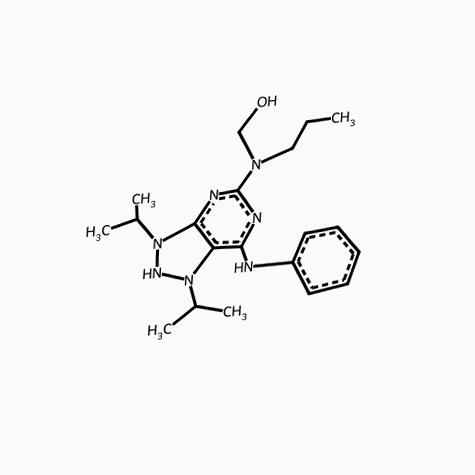 CCCN(CO)c1nc(Nc2ccccc2)c2c(n1)N(C(C)C)NN2C(C)C